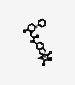 CN1C(=O)NC(=O)[C@@]12Cc1ccc(NC(=O)CN3C[C@@H](c4ccccc4)CCC3=O)cc1C2